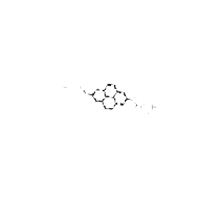 O=C(O)Oc1cc2ccc3cc(OC(=O)O)cc4ccc(c1)c2c34